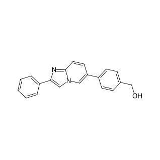 OCc1ccc(-c2ccc3nc(-c4ccccc4)cn3c2)cc1